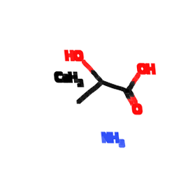 CC(O)C(=O)O.N.[CaH2]